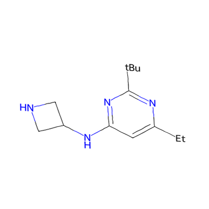 CCc1cc(NC2CNC2)nc(C(C)(C)C)n1